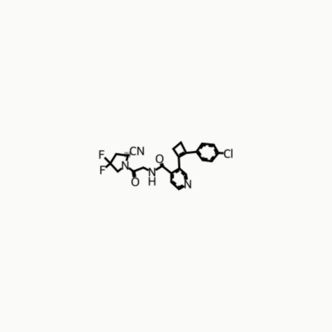 N#C[C@@H]1CC(F)(F)CN1C(=O)CNC(=O)c1ccncc1C1=C(c2ccc(Cl)cc2)CC1